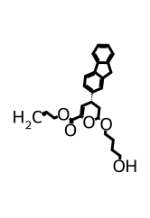 C=CCOC(=O)C1=C[C@H](c2ccc3c(c2)Cc2ccccc2-3)C[C@H](OCCCCO)O1